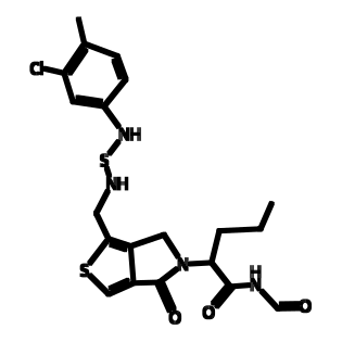 CCCC(C(=O)NC=O)N1Cc2c(csc2CNSNc2ccc(C)c(Cl)c2)C1=O